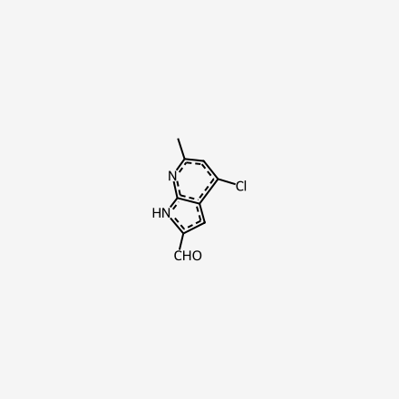 Cc1cc(Cl)c2cc(C=O)[nH]c2n1